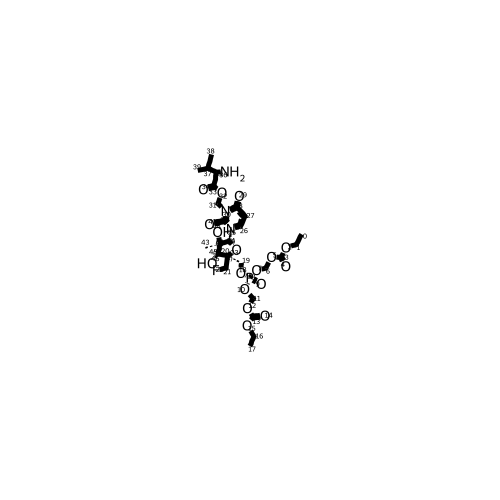 CCOC(=O)OCOP(=O)(OCOC(=O)OCC)OC[C@@]1(CF)O[C@@H](n2ccc(=O)n(COC(=O)C(N)C(C)C)c2=O)[C@](C)(O)[C@@H]1O